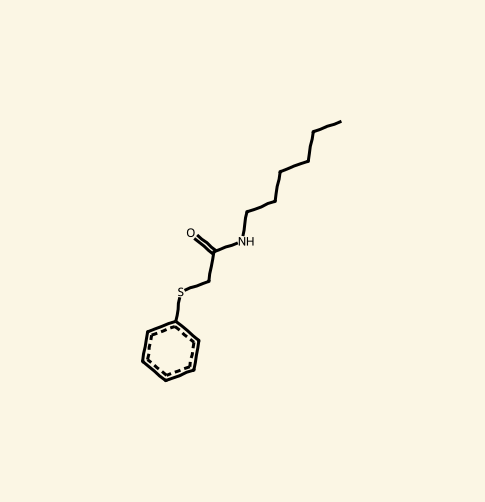 CCCCCCNC(=O)CSc1ccccc1